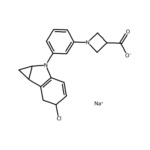 O=C([O-])C1CN(c2cccc(N3C4=C(CC(Cl)C=C4)C4CC43)c2)C1.[Na+]